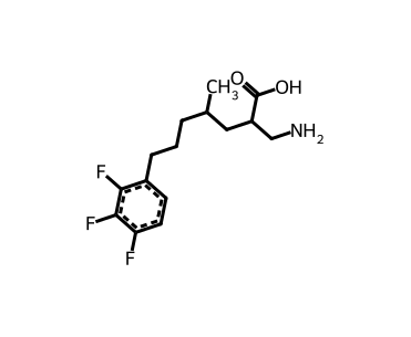 CC(CCCc1ccc(F)c(F)c1F)CC(CN)C(=O)O